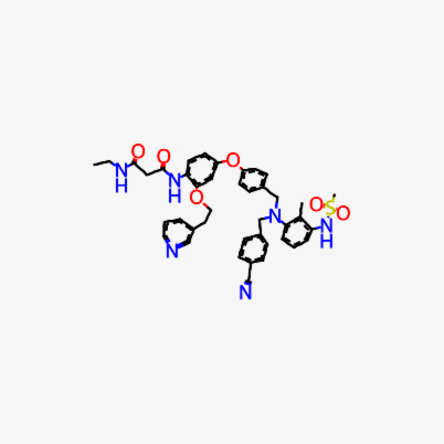 CCNC(=O)CC(=O)Nc1ccc(Oc2ccc(CN(Cc3ccc(C#N)cc3)c3cccc(NS(C)(=O)=O)c3C)cc2)cc1OCCc1cccnc1